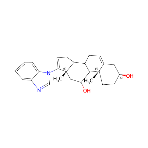 C[C@]12CC[C@H](O)CC1=CCC1C2C(O)C[C@]2(C)C(n3cnc4ccccc43)=CCC12